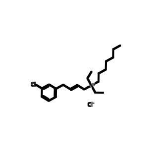 CCCCCCC[N+](CC)(CC)C/C=C/Cc1cccc(Cl)c1.[Cl-]